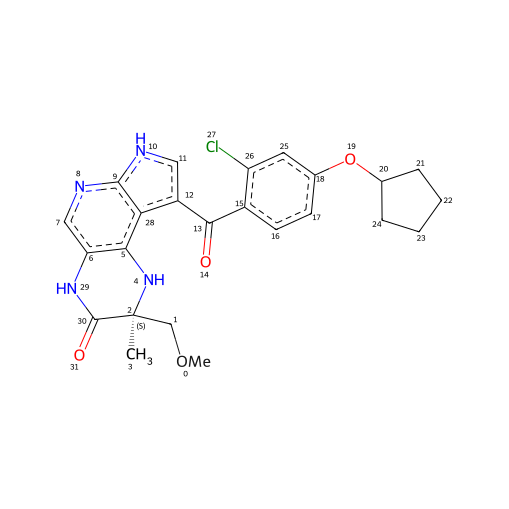 COC[C@]1(C)Nc2c(cnc3[nH]cc(C(=O)c4ccc(OC5CCCC5)cc4Cl)c23)NC1=O